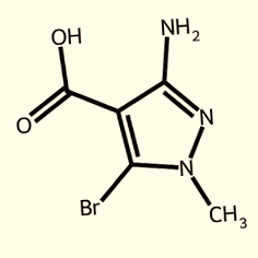 Cn1nc(N)c(C(=O)O)c1Br